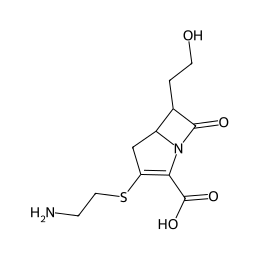 NCCSC1=C(C(=O)O)N2C(=O)C(CCO)C2C1